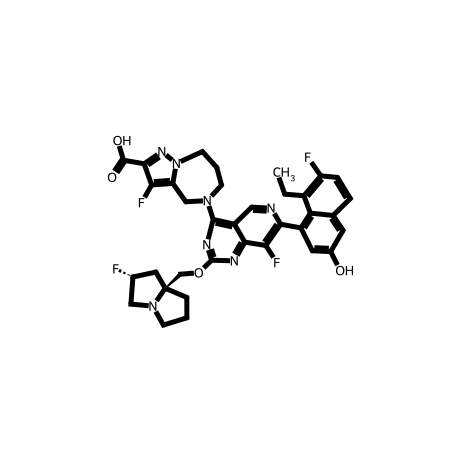 CCc1c(F)ccc2cc(O)cc(-c3ncc4c(N5CCCn6nc(C(=O)O)c(F)c6C5)nc(OC[C@@]56CCCN5C[C@H](F)C6)nc4c3F)c12